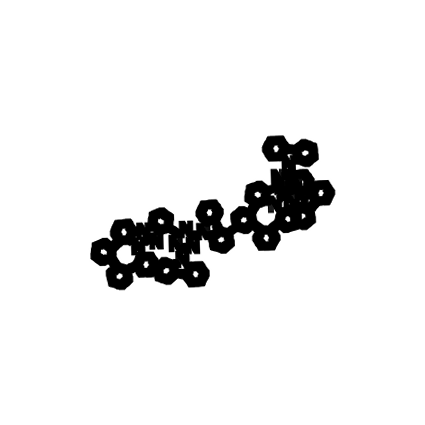 c1ccc2c(c1)nc1n2c2cccc3c4ccccc4c4cc(-c5cccc6c5c5ccccc5n6-c5nc(-c6cccc7c6nc6n7c7cccc8c9ccccc9c9ccccc9c9ccccc9n6c87)nc(-n6c7ccccc7c7ccccc76)n5)ccc4c4cccc(-c5nc(-n6c7ccccc7c7ccccc76)nc(-n6c7ccccc7c7ccccc76)n5)c4n1c32